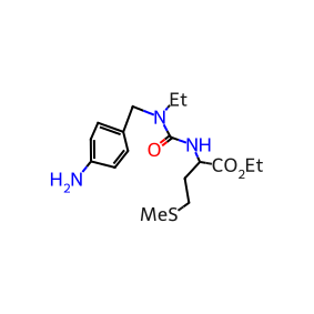 CCOC(=O)C(CCSC)NC(=O)N(CC)Cc1ccc(N)cc1